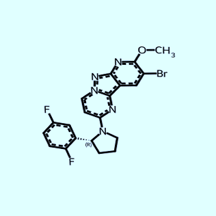 COc1nc2nn3ccc(N4CCC[C@@H]4c4cc(F)ccc4F)nc3c2cc1Br